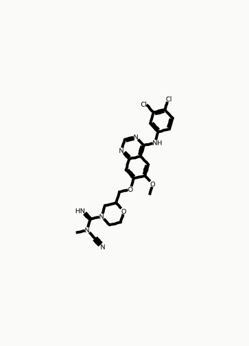 COc1cc2c(Nc3ccc(Cl)c(Cl)c3)ncnc2cc1OCC1CN(C(=N)N(C)C#N)CCO1